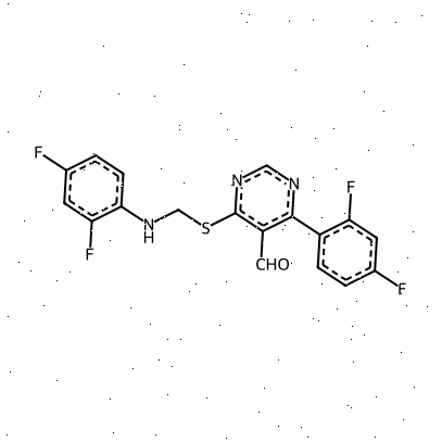 O=Cc1c(SCNc2ccc(F)cc2F)ncnc1-c1ccc(F)cc1F